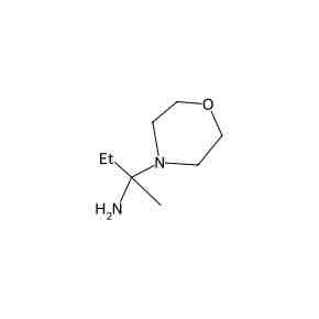 CCC(C)(N)N1CCOCC1